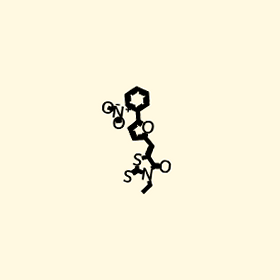 CCN1C(=O)/C(=C/c2ccc(-c3ccccc3[N+](=O)[O-])o2)SC1=S